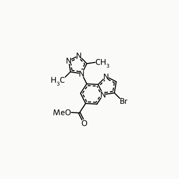 COC(=O)c1cc(-n2c(C)nnc2C)c2ncc(Br)n2c1